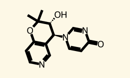 CC1(C)Oc2ccncc2[C@H](n2ccc(=O)nc2)[C@H]1O